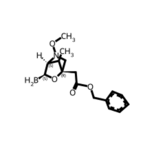 B[C@@H]1O[C@@]2(CC(=O)OCc3ccccc3)CN(OC)[C@H]1C2C